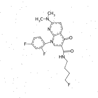 CN(C)c1ccc2c(=O)c(C(=O)NCCCCF)cn(-c3ccc(F)cc3F)c2n1